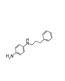 Nc1ccc(NCCCc2ccccc2)cc1